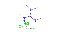 CN=C(NC)N(C)C.Cl.[Cl][Cu][Cl]